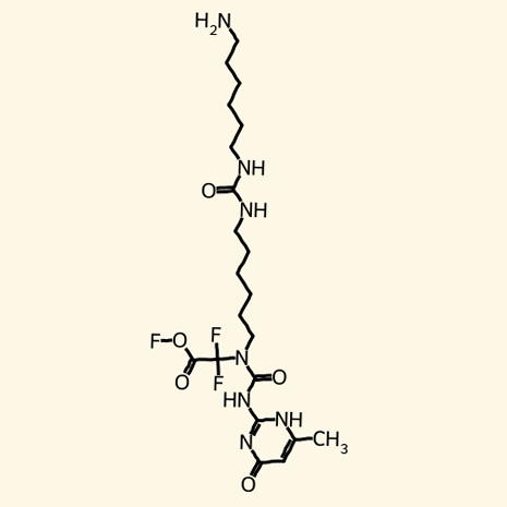 Cc1cc(=O)nc(NC(=O)N(CCCCCCNC(=O)NCCCCCCN)C(F)(F)C(=O)OF)[nH]1